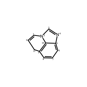 C1=Cn2cnc3cccc(c32)C1